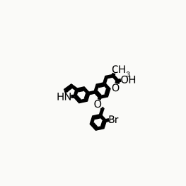 CC(Cc1ccc(OCc2ccccc2Br)c(-c2ccc3[nH]ccc3c2)c1)C(=O)O